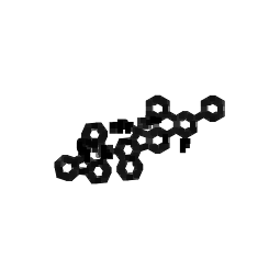 CCCC1(CCC)c2cc(-c3c(F)cc(-c4ccccc4)cc3-c3ccccc3)ccc2-c2c1cc(N(c1ccccc1)c1cccc3c4ccccc4n(C)c13)c1ccccc21